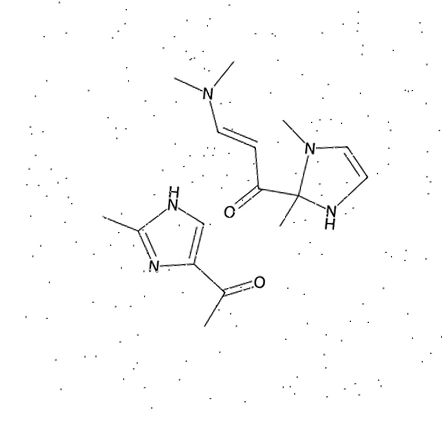 CC(=O)c1c[nH]c(C)n1.CN(C)/C=C/C(=O)C1(C)NC=CN1C